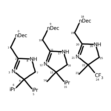 CCCCCCCCCCCC1=NC(C(C)C)(C(C)C)CN1.CCCCCCCCCCCC1=NC(C)(C(C)C)CN1.CCCCCCCCCCCC1=NC(C)(C(F)(F)F)CN1